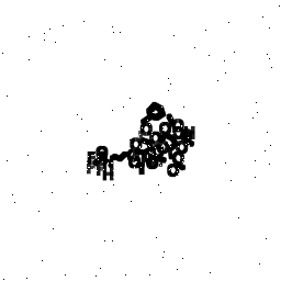 CC(=O)N[C@H]1[C@H](OCCCNC(=O)C(F)(F)F)O[C@H](COCc2ccccc2)[C@@H](O[C@@H]2O[C@H](COC(C)=O)[C@H](OC(C)=O)[C@H](O)[C@H]2OC(C)=O)[C@@H]1OC(C)=O